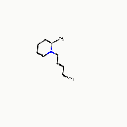 CCCCCN1CCCCC1C